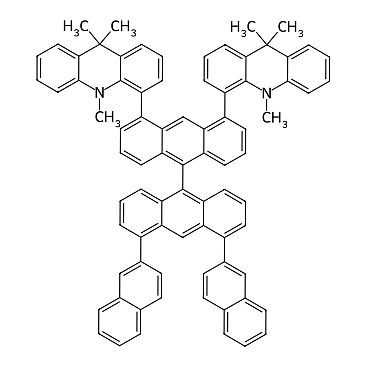 CN1c2ccccc2C(C)(C)c2cccc(-c3cccc4c(-c5c6cccc(-c7ccc8ccccc8c7)c6cc6c(-c7ccc8ccccc8c7)cccc56)c5cccc(-c6cccc7c6N(C)c6ccccc6C7(C)C)c5cc34)c21